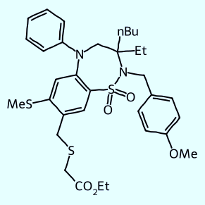 CCCCC1(CC)CN(c2ccccc2)c2cc(SC)c(CSCC(=O)OCC)cc2S(=O)(=O)N1Cc1ccc(OC)cc1